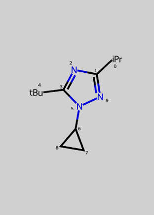 CC(C)c1nc(C(C)(C)C)n(C2CC2)n1